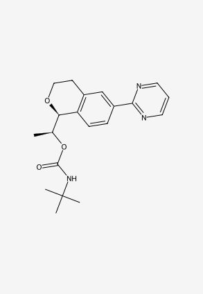 C[C@H](OC(=O)NC(C)(C)C)[C@H]1OCCc2cc(-c3ncccn3)ccc21